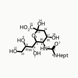 CCCCCCCC(=O)N[C@H]1C([C@H](O)[C@H](O)CO)OC(O)(C(=O)O)C[C@H]1O